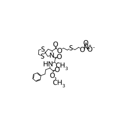 CCOC(=O)C(CCc1ccccc1)NC(C)C(=O)N1CC2(CC1C(=O)OCCSCCO[N+](=O)[O-])SCCS2